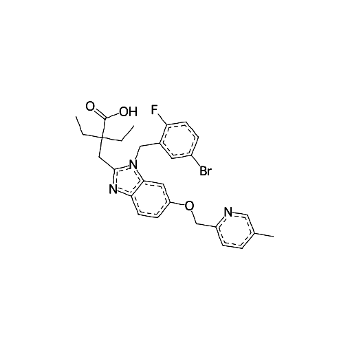 CCC(CC)(Cc1nc2ccc(OCc3ccc(C)cn3)cc2n1Cc1cc(Br)ccc1F)C(=O)O